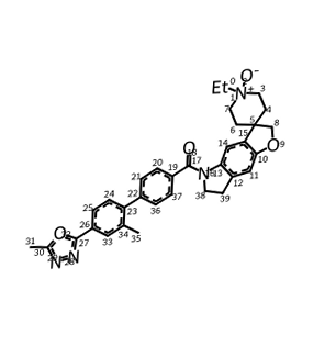 CC[N+]1([O-])CCC2(CC1)COc1cc3c(cc12)N(C(=O)c1ccc(-c2ccc(-c4nnc(C)o4)cc2C)cc1)CC3